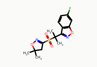 CC1(C)CC(S(=O)(=O)C(C)(C)c2noc3cc(F)ccc23)=NO1